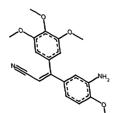 COc1ccc(/C(=C/C#N)c2cc(OC)c(OC)c(OC)c2)cc1N